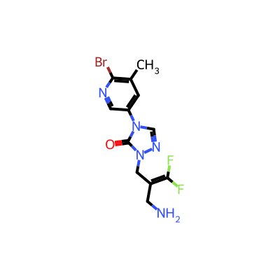 Cc1cc(-n2cnn(CC(CN)=C(F)F)c2=O)cnc1Br